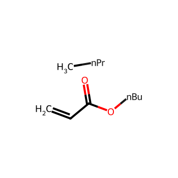 C=CC(=O)OCCCC.CCCC